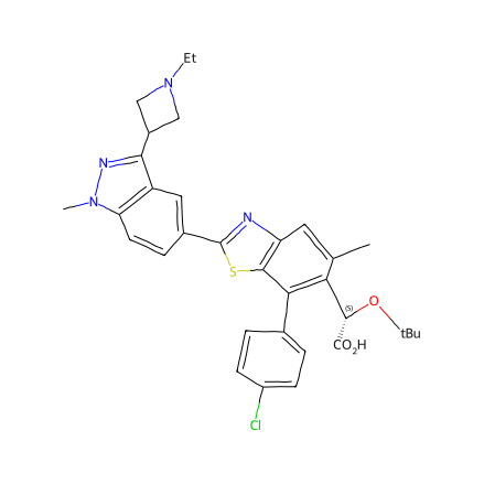 CCN1CC(c2nn(C)c3ccc(-c4nc5cc(C)c([C@H](OC(C)(C)C)C(=O)O)c(-c6ccc(Cl)cc6)c5s4)cc23)C1